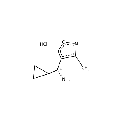 Cc1nocc1[C@H](N)C1CC1.Cl